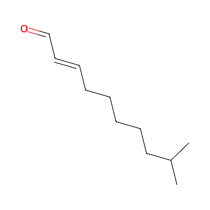 CC(C)CCCCCC=CC=O